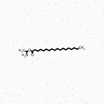 CCCCCCCCCCCCCCCCCC(=O)OC(C)N